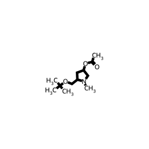 CC(=O)OC1CC(COC(C)(C)C)N(C)C1